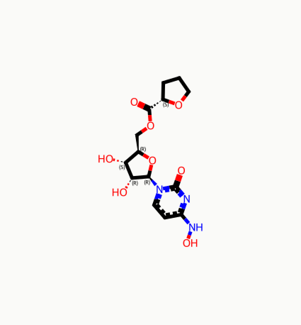 O=C(OC[C@H]1O[C@@H](n2ccc(NO)nc2=O)[C@H](O)[C@@H]1O)[C@@H]1CCCO1